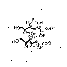 O=C([O-])[C@H](O)[C@@H](O)[C@H](O)[C@H](O)C(O)CO.O=C([O-])[C@H](O)[C@@H](O)[C@H](O)[C@H](O)C(O)CO.[Fe+2]